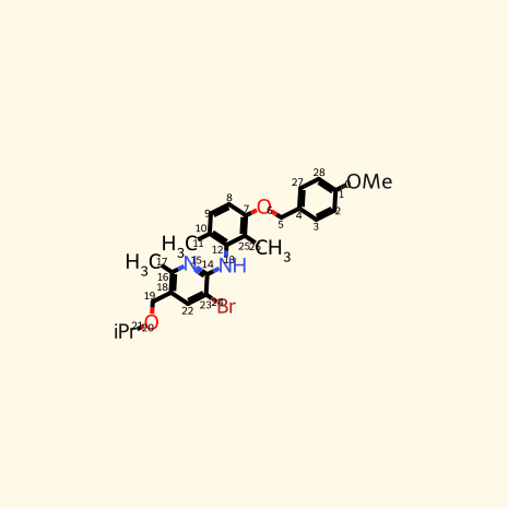 COc1ccc(COc2ccc(C)c(Nc3nc(C)c(COC(C)C)cc3Br)c2C)cc1